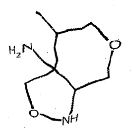 CC1COCC2NOCC12N